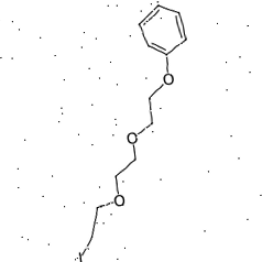 ICCOCCOCCOc1cc[c]cc1